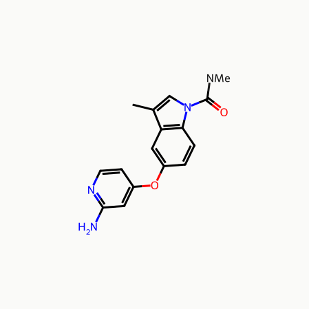 CNC(=O)n1cc(C)c2cc(Oc3ccnc(N)c3)ccc21